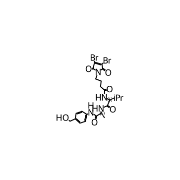 CC(C)[C@H](NC(=O)CCCN1C(=O)C(Br)=C(Br)C1=O)C(=O)N[C@@H](C)C(=O)Nc1ccc(CO)cc1